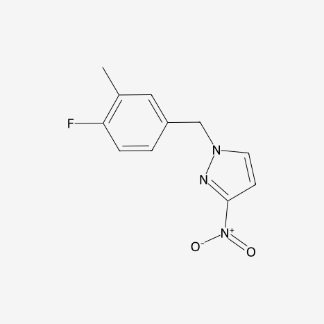 Cc1cc(Cn2ccc([N+](=O)[O-])n2)ccc1F